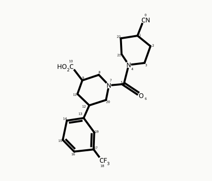 N#CC1CCN(C(=O)N2CC(C(=O)O)CC(c3cccc(C(F)(F)F)c3)C2)CC1